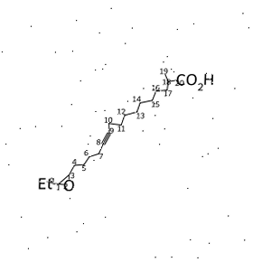 CCC1OC1CCCCC#CCCCCCCCCC(C)C(=O)O